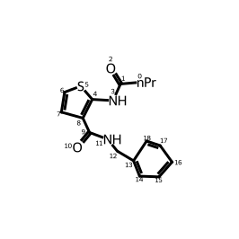 CCCC(=O)Nc1sccc1C(=O)NCc1ccccc1